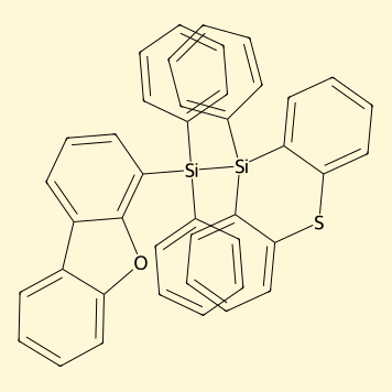 c1ccc([Si]2([Si](c3ccccc3)(c3ccccc3)c3cccc4c3oc3ccccc34)c3ccccc3Sc3ccccc32)cc1